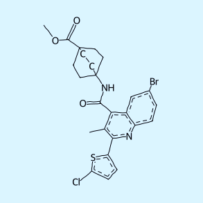 COC(=O)C12CCC(NC(=O)c3c(C)c(-c4ccc(Cl)s4)nc4ccc(Br)cc34)(CC1)CC2